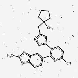 Cn1nc2ccc(-c3nc(C#N)ccc3-c3cnn(CC4(C)CCCC4)c3)cc2n1